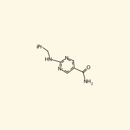 CC(C)CNc1ncc(C(N)=O)cn1